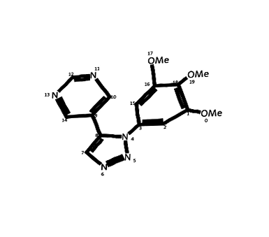 COc1cc(-n2nncc2-c2cncnc2)cc(OC)c1OC